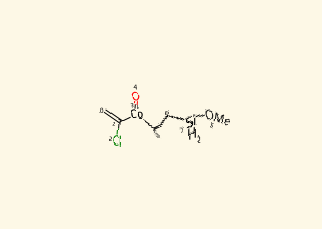 C=[C](Cl)[Co](=[O])[CH2]C[SiH2]OC